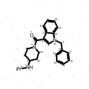 CC(C)NC1CCN(C(=O)c2cn(Cc3ccccc3)c3ccccc23)CC1